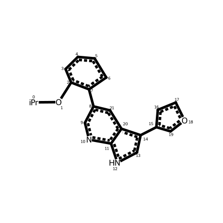 CC(C)Oc1ccccc1-c1cnc2[nH]cc(-c3ccoc3)c2c1